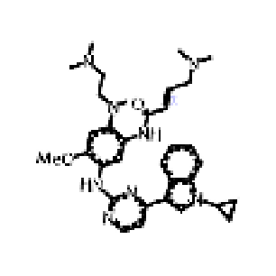 COc1cc(N(C)CCN(C)C)c(NC(=O)/C=C/CN(C)C)cc1Nc1nccc(-c2cn(C3CC3)c3ccccc23)n1